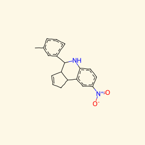 Cc1cccc(C2Nc3ccc([N+](=O)[O-])cc3C3CC=CC32)c1